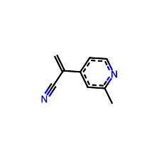 C=C(C#N)c1ccnc(C)c1